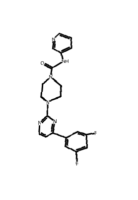 O=C(Nc1cccnc1)N1CCN(c2nccc(-c3cc(F)cc(F)c3)n2)CC1